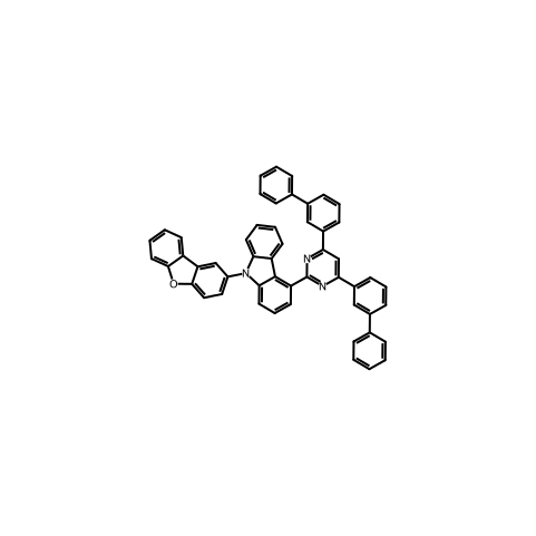 c1ccc(-c2cccc(-c3cc(-c4cccc(-c5ccccc5)c4)nc(-c4cccc5c4c4ccccc4n5-c4ccc5oc6ccccc6c5c4)n3)c2)cc1